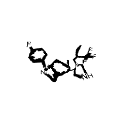 Cc1cc2c(cnn2-c2ccc(F)cc2)cc1[C@@H]1CNCCN1CC(C)C(F)(F)F